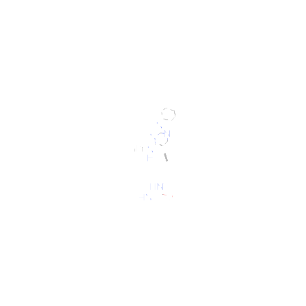 CCCNc1nc(Nc2cccc(F)c2)ncc1C#CCCCNC(=O)[C@@H]1CCCN1